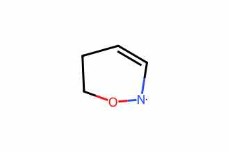 C1=C[N]OCC1